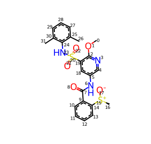 COc1ncc(NC(=O)c2ccccc2[S@+](C)[O-])cc1S(=O)(=O)Nc1c(C)cccc1C